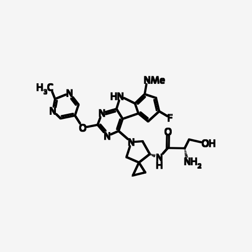 CNc1cc(F)cc2c1[nH]c1nc(Oc3cnc(C)nc3)nc(N3C[C@H](NC(=O)[C@@H](N)CO)C4(CC4)C3)c12